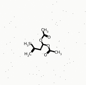 C=C([SiH3])CC(OC(C)=O)OC(C)=O